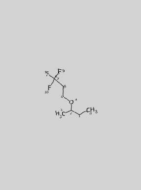 CCC(C)OCCC(F)(F)F